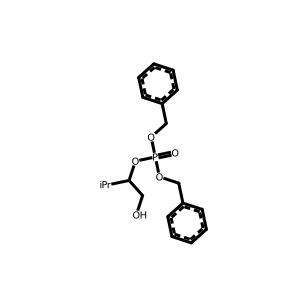 CC(C)C(CO)OP(=O)(OCc1ccccc1)OCc1ccccc1